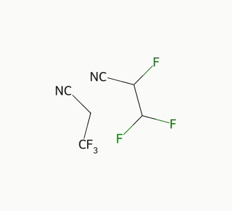 N#CC(F)C(F)F.N#CCC(F)(F)F